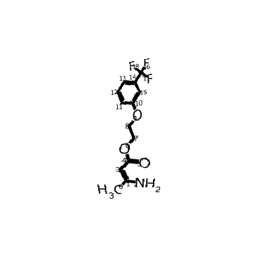 CC(N)=CC(=O)OCCOc1cccc(C(F)(F)F)c1